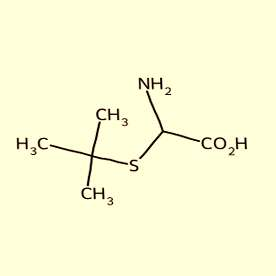 CC(C)(C)SC(N)C(=O)O